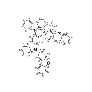 CC1(C)c2ccc3c4ccccc4n(-c4ccc5c(c4)c4ccccc4n5-c4ccc5oc6ccccc6c5c4)c3c2-c2ccc3c(c21)Sc1ccccc1S3